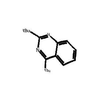 CC(C)(C)c1nc(C(C)(C)C)c2ccccc2n1